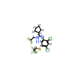 FC(F)CN/C(=N\c1cc(SCC(F)(F)F)c(Cl)cc1Cl)C1CCCC1